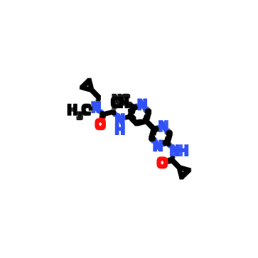 C[C@H](Nc1cc(-c2cnc(NC(=O)C3CC3)cn2)cnc1C#N)C(=O)N(C)CC1CC1